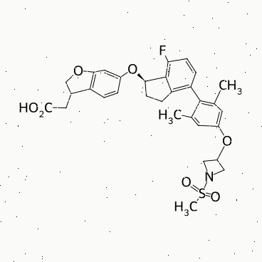 Cc1cc(OC2CN(S(C)(=O)=O)C2)cc(C)c1-c1ccc(F)c2c1CC[C@H]2Oc1ccc2c(c1)OCC2CC(=O)O